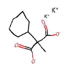 CC(C(=O)[O-])(C(=O)[O-])C1CCCCC1.[K+].[K+]